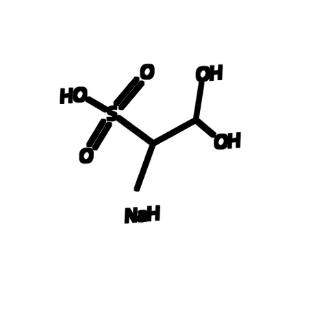 CC(C(O)O)S(=O)(=O)O.[NaH]